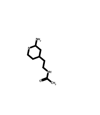 CC(=O)NCCC1CC[N]C(N)C1